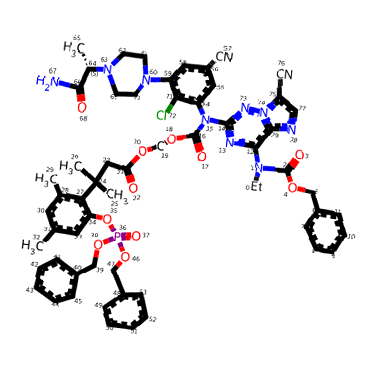 CCN(C(=O)OCc1ccccc1)c1nc(N(C(=O)OCOC(=O)CC(C)(C)c2c(C)cc(C)cc2OP(=O)(OCc2ccccc2)OCc2ccccc2)c2cc(C#N)cc(N3CCN([C@@H](C)C(N)=O)CC3)c2Cl)nn2c(C#N)cnc12